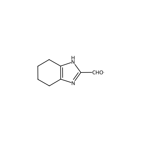 O=[C]c1nc2c([nH]1)CCCC2